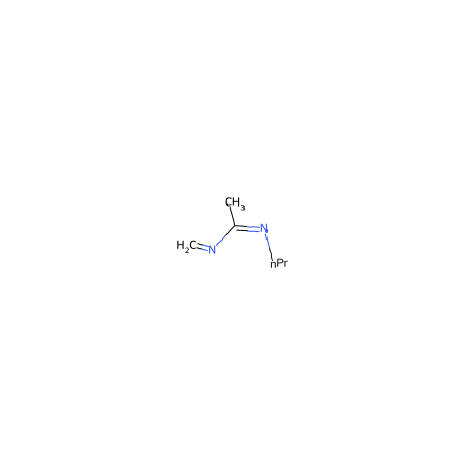 C=N/C(C)=N\CCC